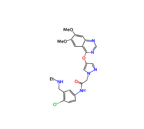 CCNCc1cc(NC(=O)Cn2cc(Oc3ncnc4cc(OC)c(OC)cc34)cn2)ccc1Cl